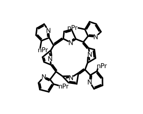 CCCc1cccnc1C1=C2C=CC(=N2)C(c2ncccc2CCC)=C2C=CC(=N2)C(c2ncccc2CCC)=C2C=CC(=N2)C(c2ncccc2CCC)=C2C=CC1=N2